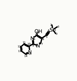 C[Si](C)(C)C#Cc1cnc(-c2ccccn2)nc1O